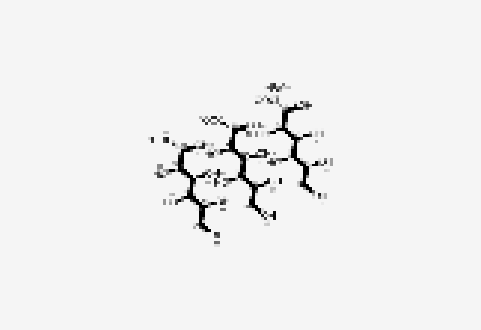 O=C([O-])[C@H](O)[C@H](O)[C@@H](O)[C@H](O)[C@@H](O)CO.O=C([O-])[C@H](O)[C@H](O)[C@@H](O)[C@H](O)[C@@H](O)CO.O=C([O-])[C@H](O)[C@H](O)[C@@H](O)[C@H](O)[C@@H](O)CO.[Fe+3]